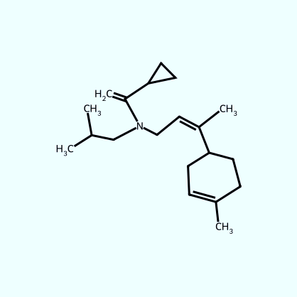 C=C(C1CC1)N(C/C=C(/C)C1CC=C(C)CC1)CC(C)C